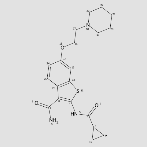 NC(=O)c1c(NC(=O)C2CC2)sc2cc(OCCN3CCCCC3)ccc12